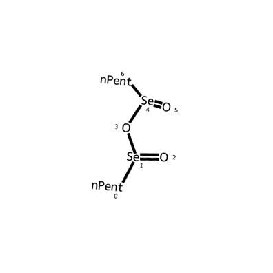 CCCCC[Se](=O)O[Se](=O)CCCCC